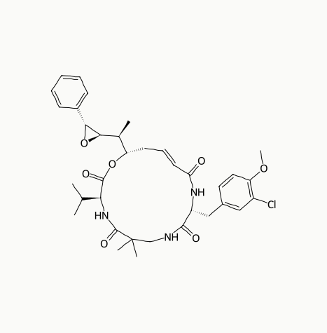 COc1ccc(C[C@H]2NC(=O)/C=C/C[C@@H]([C@H](C)[C@H]3O[C@@H]3c3ccccc3)OC(=O)[C@H](C(C)C)NC(=O)C(C)(C)CNC2=O)cc1Cl